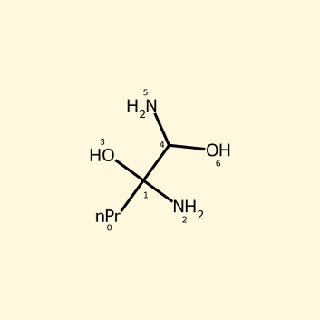 CCCC(N)(O)C(N)O